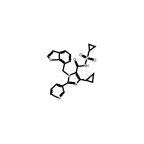 O=C(NS(=O)(=O)C1CC1)c1c(C2CC2)nc(-c2cccnc2)n1Cc1cccc2ccsc12